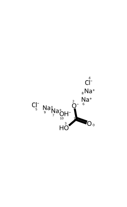 O=C([O-])O.[Cl-].[Cl-].[Na+].[Na+].[Na+].[Na+].[OH-]